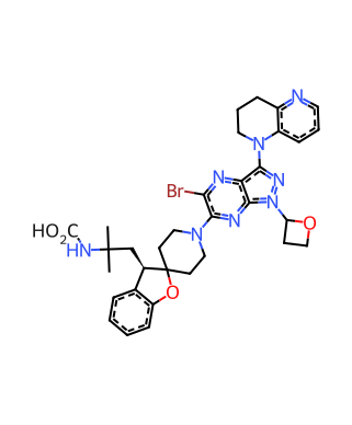 CC(C)(C[C@@H]1c2ccccc2OC12CCN(c1nc3c(nc1Br)c(N1CCCc4ncccc41)nn3C1CCO1)CC2)NC(=O)O